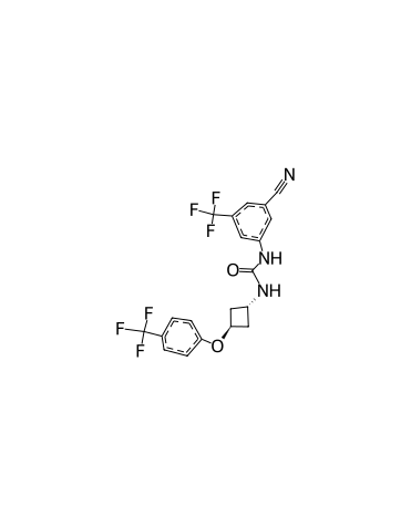 N#Cc1cc(NC(=O)N[C@H]2C[C@H](Oc3ccc(C(F)(F)F)cc3)C2)cc(C(F)(F)F)c1